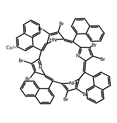 BrC1=C(Br)c2nc1c(-c1cccc3ccccc13)c1[nH]c(c(Br)c1Br)c(-c1cccc3ccccc13)c1nc(c(-c3cccc4ccccc34)c3[nH]c(c(Br)c3Br)c2-c2cccc3ccccc23)C(Br)=C1Br.[Co+2]